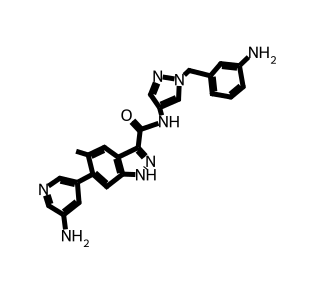 Cc1cc2c(C(=O)Nc3cnn(Cc4cccc(N)c4)c3)n[nH]c2cc1-c1cncc(N)c1